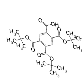 CC(C)(C)OC(=O)c1cc(C(=O)OC(C)(C)C)c(C(=O)OC(C)(C)C)cc1C(=O)O